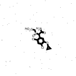 NC(=O)C(c1cc(OC2CC2)c(Cl)cc1Cl)[S+]([O-])CC(=O)O